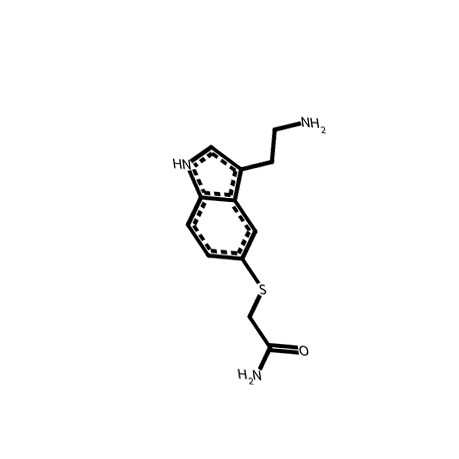 NCCc1c[nH]c2ccc(SCC(N)=O)cc12